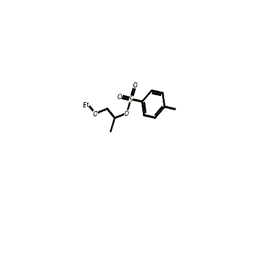 CCOCC(C)OS(=O)(=O)c1ccc(C)cc1